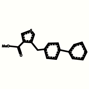 COC(=O)c1cscc1Cc1ccc(-c2ccccc2)cc1